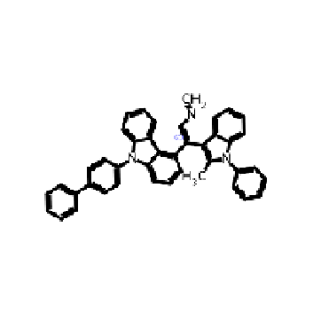 C=N/C=C(\c1c(C)n(-c2ccccc2)c2ccccc12)c1cccc2c1c1ccccc1n2-c1ccc(-c2ccccc2)cc1